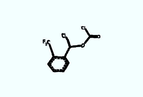 O=C(Cl)OC(Cl)c1ccccc1C(F)(F)F